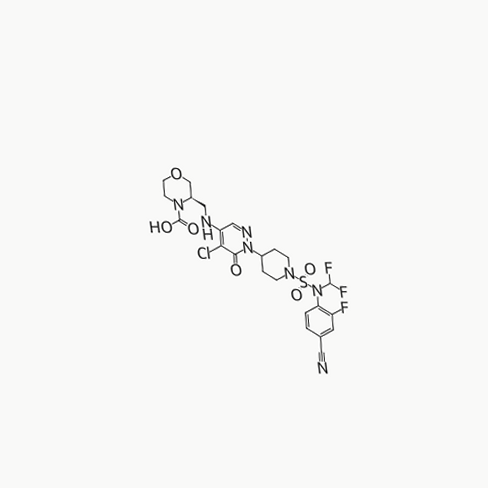 N#Cc1ccc(N(C(F)F)S(=O)(=O)N2CCC(n3ncc(NC[C@@H]4COCCN4C(=O)O)c(Cl)c3=O)CC2)c(F)c1